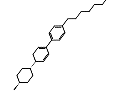 CCCCCCCCc1ccc(C2=CCC([C@H]3CC[C@H](C)CC3)C=C2)cc1